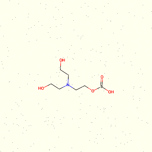 [O]=[Ti]([OH])[O]CCN(CCO)CCO